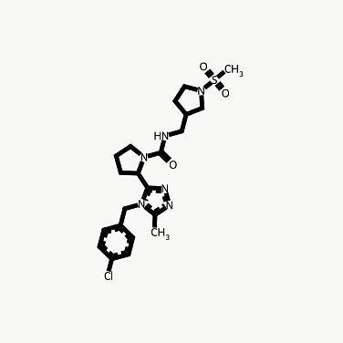 Cc1nnc(C2CCCN2C(=O)NCC2CCN(S(C)(=O)=O)C2)n1Cc1ccc(Cl)cc1